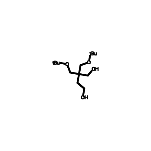 CC(C)(C)OCC(CO)(CCO)COC(C)(C)C